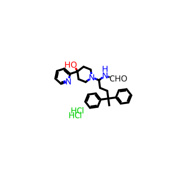 CC(CCC(NC=O)N1CCC(O)(c2ccccn2)CC1)(c1ccccc1)c1ccccc1.Cl.Cl